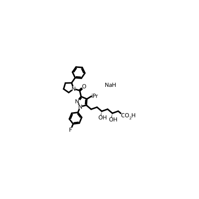 CC(C)c1c(C(=O)N2CCCC2c2ccccc2)nn(-c2ccc(F)cc2)c1CC[C@@H](O)C[C@@H](O)CC(=O)O.[NaH]